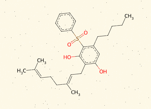 CCCCCc1cc(O)c(C/C=C(\C)CCC=C(C)C)c(O)c1S(=O)(=O)c1ccccc1